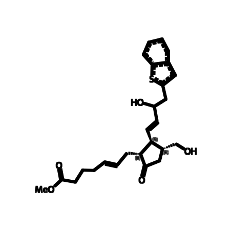 COC(=O)CCCC=CC[C@H]1C(=O)C[C@@H](CO)[C@@H]1C=CC(O)Cc1cc2ccccc2s1